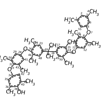 Cc1cc(C)cc(Oc2c(C)cc(Oc3c(C)cc(C(C)(C)c4cc(C)c(Oc5cc(C)c(Oc6cc(C)c(O)c(C)c6)c(C)c5)c(C)c4)cc3C)cc2C)c1